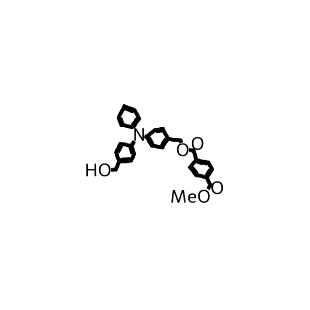 COC(=O)c1ccc(C(=O)OCc2ccc(N(c3ccccc3)c3ccc(CO)cc3)cc2)cc1